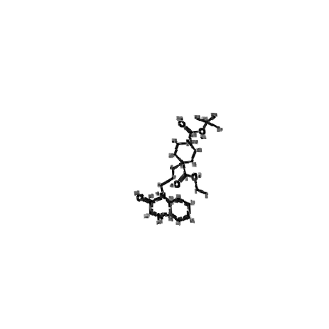 CCOC(=O)C1(CCCn2c(=O)cnc3ccccc32)CCN(C(=O)OC(C)(C)C)CC1